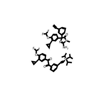 C#Cc1cccc(C2(c3ccc(OC(F)F)c(C4CC4)c3)N=C(N)N(C)C2=O)c1.CC(C)[Si](C#Cc1cccc(C(=O)C(=O)c2ccc(OC(F)F)c(C3CC3)c2)c1)(C(C)C)C(C)C